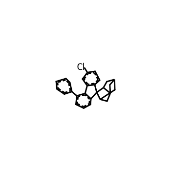 Clc1ccc2c(c1)-c1c(-c3ccccc3)cccc1C21C2CC3CC(C2)C1C3